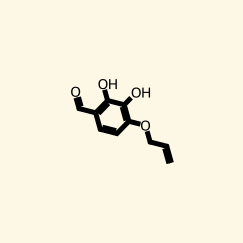 C=CCOc1ccc(C=O)c(O)c1O